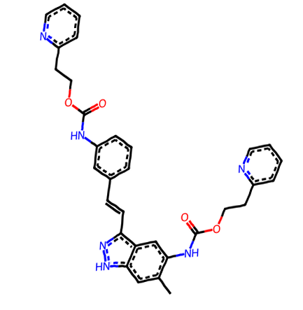 Cc1cc2[nH]nc(C=Cc3cccc(NC(=O)OCCc4ccccn4)c3)c2cc1NC(=O)OCCc1ccccn1